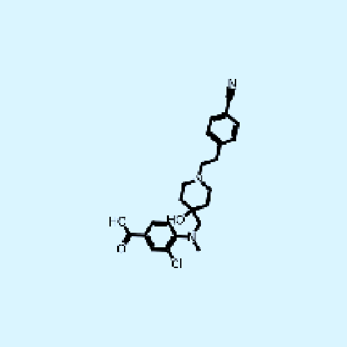 CN(CC1(O)CCN(CCc2ccc(C#N)cc2)CC1)c1ccc(C(=O)O)cc1Cl